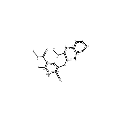 COC(=O)c1cc(Cc2cc3ccccc3nc2OC)c(=O)[nH]c1C